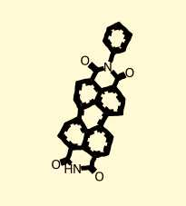 O=C1NC(=O)c2ccc3c4ccc5c6c(ccc(c7ccc1c2c73)c64)C(=O)N(c1ccccc1)C5=O